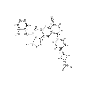 C[C@H]1CCN(c2cc3c(cc2Cl)c(=O)ccn3-c2ccc(N3CC(N(C)C)C3)nc2)[C@H]1COc1ncccc1Cl